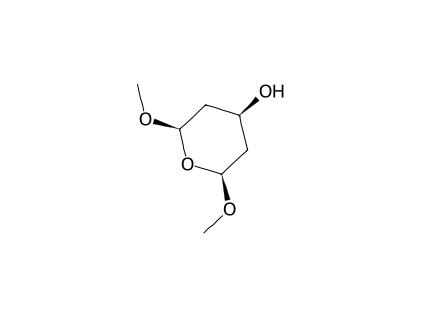 CO[C@H]1C[C@@H](O)C[C@@H](OC)O1